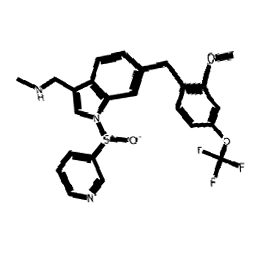 CNCc1cn([S+]([O-])c2cccnc2)c2cc(Cc3ccc(OC(F)(F)F)cc3OC)ccc12